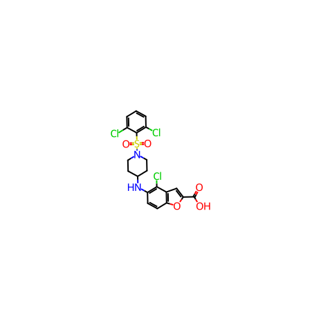 O=C(O)c1cc2c(Cl)c(NC3CCN(S(=O)(=O)c4c(Cl)cccc4Cl)CC3)ccc2o1